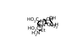 CC(C)CC(N)C(=O)O.CC(O)C(N)C(=O)O.CCC(N)C(=O)O.NCCO